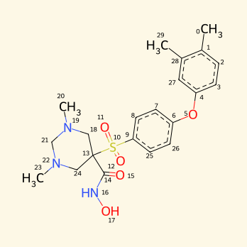 Cc1ccc(Oc2ccc(S(=O)(=O)C3(C(=O)NO)CN(C)CN(C)C3)cc2)cc1C